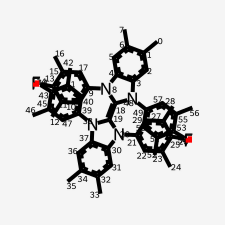 Cc1cc2c(cc1C)N(c1cc(C)c(F)c(C)c1)C(=C1N(c3cc(C)c(F)c(C)c3)c3cc(C)c(C)cc3N1c1cc(C)c(F)c(C)c1)N2c1cc(C)c(F)c(C)c1